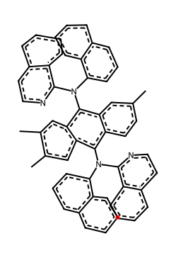 Cc1ccc2c(N(c3cccc4ccccc34)c3nccc4ccccc34)c3cc(C)c(C)cc3c(N(c3cccc4ccccc34)c3nccc4ccccc34)c2c1